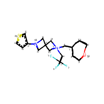 FC(F)(F)C[N+]1(CC2CCOCC2)CC2(CN(c3ccsc3)C2)C1